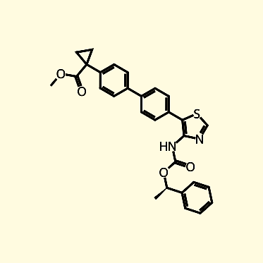 COC(=O)C1(c2ccc(-c3ccc(-c4scnc4NC(=O)O[C@H](C)c4ccccc4)cc3)cc2)CC1